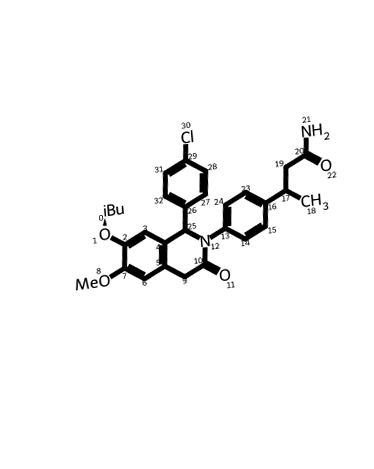 CC[C@@H](C)Oc1cc2c(cc1OC)CC(=O)N(c1ccc(C(C)CC(N)=O)cc1)C2c1ccc(Cl)cc1